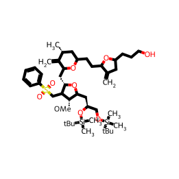 C=C1CC(CCCO)OC1CCC1C[C@@H](C)C(=C)C(C[C@@H]2OC(C[C@@H](CO[Si](C)(C)C(C)(C)C)O[Si](C)(C)C(C)(C)C)[C@H](OC)C2CS(=O)(=O)c2ccccc2)O1